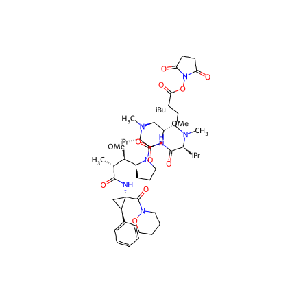 CC[C@H](C)[C@@H]([C@@H](CC(=O)N1CCC[C@H]1[C@H](OC)[C@@H](C)C(=O)N[C@@]1(C(=O)N2CCCCO2)C[C@@H]1c1ccccc1)OC)N(C)[C@H](C(=O)NC(=O)[C@H](C(C)C)N(C)CCCC(=O)ON1C(=O)CCC1=O)C(C)C